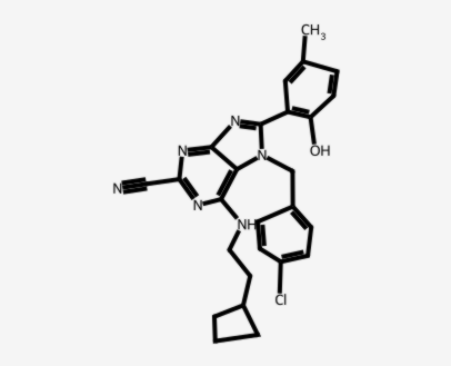 Cc1ccc(O)c(-c2nc3nc(C#N)nc(NCCC4CCC4)c3n2Cc2ccc(Cl)cc2)c1